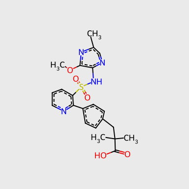 COc1nc(C)cnc1NS(=O)(=O)c1cccnc1-c1ccc(CC(C)(C)C(=O)O)cc1